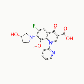 COc1c(N2CCC(O)C2)c(F)cc2c(=O)c(C(=O)O)cn(-c3ccccn3)c12